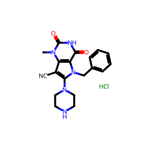 Cl.Cn1c(=O)[nH]c(=O)c2c1c(C#N)c(N1CCNCC1)n2Cc1ccccc1